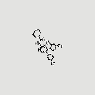 O=C(Nc1ncc(-c2ccc(Cl)cc2)c(-c2ccc(Cl)cc2Cl)n1)C1CCCCC1